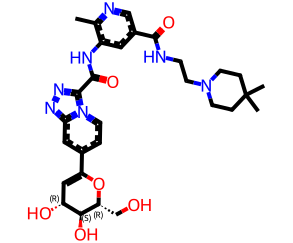 Cc1ncc(C(=O)NCCN2CCC(C)(C)CC2)cc1NC(=O)c1nnc2cc(C3=C[C@@H](O)[C@H](O)[C@@H](CO)O3)ccn12